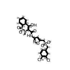 CN1C(C(=O)Nc2cc(CS(=O)(=O)Cc3ccc(Cl)c(Cl)c3)on2)=C(O)c2ccccc2S1(=O)=O